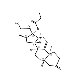 CCC(=O)O[C@@]1(C(=O)CO)[C@H](C)C[C@H]2[C@@H]3CC[C@H]4CC(=O)CC[C@]4(C)C3=CC[C@@]21C